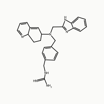 N=C(N)NCc1ccc(CN(Cc2nc3ccccc3[nH]2)C2C=C3C=CC=NC3CC2)cc1